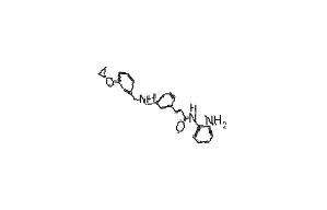 Nc1ccccc1NC(=O)/C=C/c1cccc(CNCc2cccc(OC3CC3)c2)c1